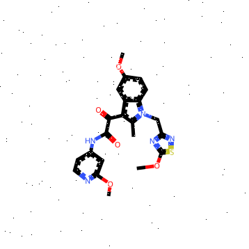 COc1ccc2c(c1)c(C(=O)C(=O)Nc1ccnc(OC)c1)c(C)n2Cc1nsc(OC)n1